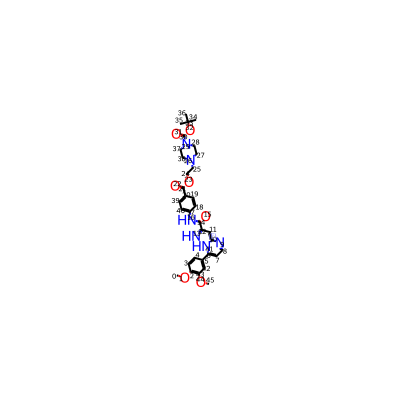 COc1ccc(C2=CC=N/C(=C/C(=N)C(=O)Nc3ccc(C(=O)OCCN4CCN(C(=O)OC(C)(C)C)CC4)cc3)N2)cc1OC